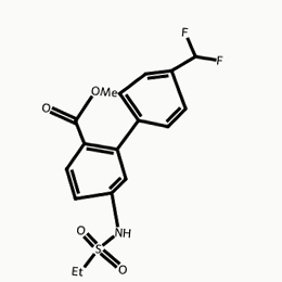 CCS(=O)(=O)Nc1ccc(C(=O)OC)c(-c2ccc(C(F)F)cc2)c1